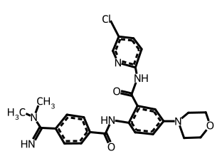 CN(C)C(=N)c1ccc(C(=O)Nc2ccc(N3CCOCC3)cc2C(=O)Nc2ccc(Cl)cn2)cc1